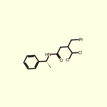 CC(C)CC(CC(=O)N[C@H](C)c1ccccc1)C(Cl)Cl